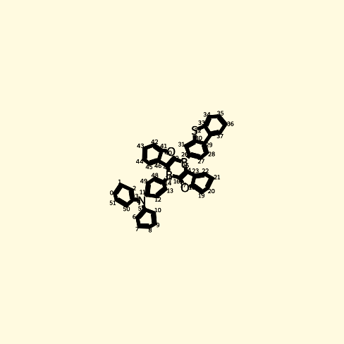 c1ccc(N(c2ccccc2)c2ccc(B3c4oc5ccccc5c4B(c4ccc5c(c4)sc4ccccc45)c4oc5ccccc5c43)cc2)cc1